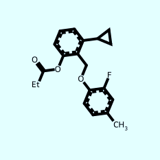 CCC(=O)Oc1cccc(C2CC2)c1COc1ccc(C)cc1F